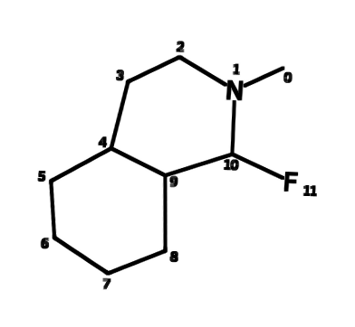 CN1CCC2CCCCC2C1F